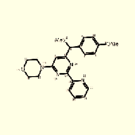 COc1ccc(C(SC)c2cc(N3CCOCC3)nc(-c3ccccn3)n2)cc1